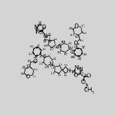 CCOC(=O)c1nnc(N2CC3(CC[C@@H](N4CCC(c5ccccc5OCC5CCOCC5)CC4)C3)C2)o1.c1ccc(C2CCN([C@@H]3CCC4(C3)CN(c3nnco3)C4)CC2)c(OCC2CCOCC2)c1